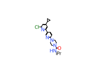 CC(C)NC(=O)N1CCN(c2ccc(-c3cc(C4CC4)cc(Cl)n3)cn2)CC1